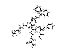 CCC(C)[C@H](NC(=O)[C@@H](CCCNC(=N)NC)NC(=O)[C@@H](CCCCNC(=O)OC(C)(C)C)NC(=O)OCC1c2ccccc2-c2ccccc21)C(=O)OCc1ccccc1